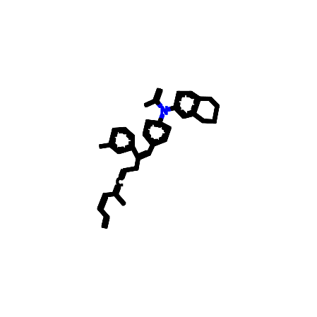 C=C/C=C\C(C)=C=CCC(=Cc1ccc(N(C(=C)C)c2ccc3c(c2)CCCC3)cc1)c1cccc(C)c1